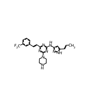 C/C=C/c1cc(Nc2nc(/C=C/c3cccc(C(F)(F)F)c3)nc(N3CCNCC3)n2)n[nH]1